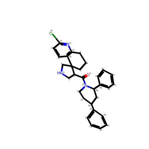 O=C(C1CNCC12CCCc1nc(Cl)ccc12)N1CCC(c2ccccc2)CC1c1ccccc1